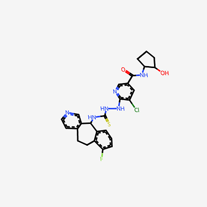 O=C(NC1CCCC1O)c1cnc(NNC(=S)NC2c3cnccc3CCc3c(F)cccc32)c(Cl)c1